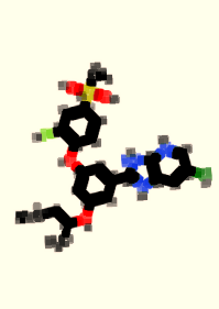 COC[C@H](C)Oc1cc(Oc2ccc(S(C)(=O)=O)cc2F)cc(-c2nc3cc(Cl)cnc3[nH]2)c1